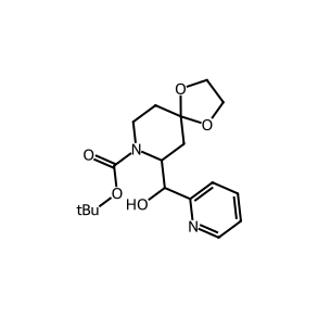 CC(C)(C)OC(=O)N1CCC2(CC1C(O)c1ccccn1)OCCO2